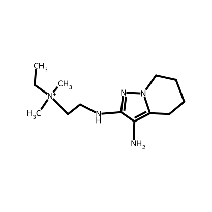 CC[N+](C)(C)CCNc1nn2c(c1N)CCCC2